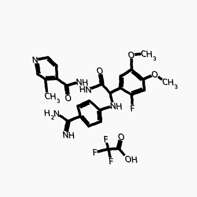 COc1cc(F)c(C(Nc2ccc(C(=N)N)cc2)C(=O)NNC(=O)c2ccncc2C)cc1OC.O=C(O)C(F)(F)F